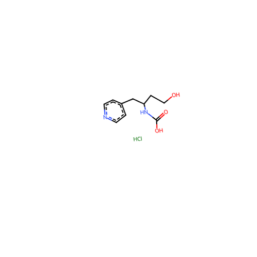 Cl.O=C(O)NC(CCO)Cc1ccncc1